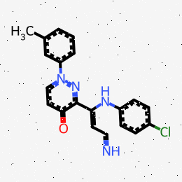 Cc1cccc(-n2ccc(=O)c(/C(=C/C=N)Nc3ccc(Cl)cc3)n2)c1